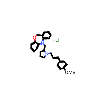 COc1ccc(C=CCN2CCCC2CN2c3ccccc3COc3ccccc32)cc1.Cl